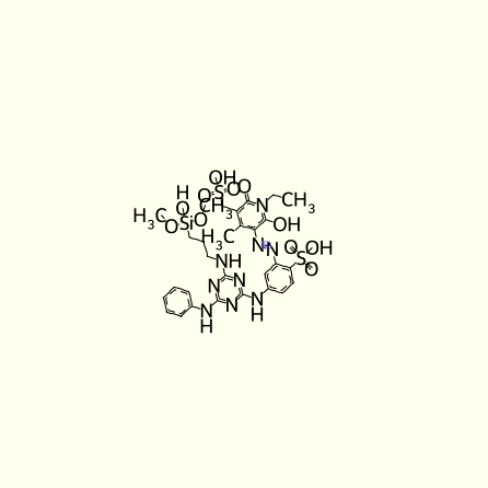 CCn1c(O)c(/N=N/c2cc(Nc3nc(NCCC[Si](O)(OC)OC)nc(Nc4ccccc4)n3)ccc2S(=O)(=O)O)c(C)c(CS(=O)(=O)O)c1=O